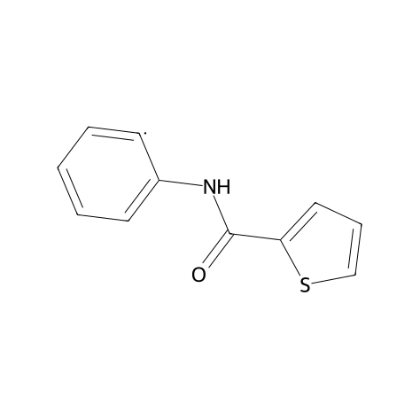 O=C(Nc1[c]cccc1)c1cccs1